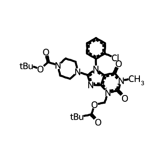 Cn1c(=O)c2c(nc(N3CCN(C(=O)OC(C)(C)C)CC3)n2-c2ccccc2Cl)n(COC(=O)C(C)(C)C)c1=O